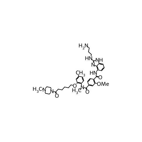 COc1cc(C(=O)N(C)c2ccc(C)cc2OCCCCCC(=O)N2CCN(C)CC2)ccc1C(=O)Nc1cccc2[nH]c(NCCCN)nc12